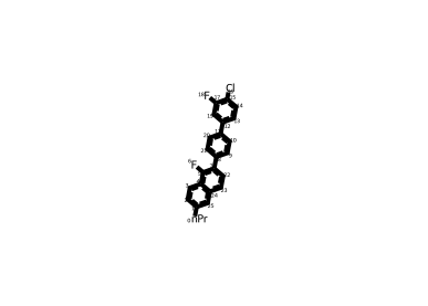 CCCc1ccc2c(F)c(-c3ccc(-c4ccc(Cl)c(F)c4)cc3)ccc2c1